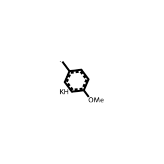 [CH2]c1ccc(OC)cc1.[KH]